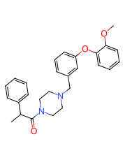 COc1ccccc1Oc1cccc(CN2CCN(C(=O)C(C)c3ccccc3)CC2)c1